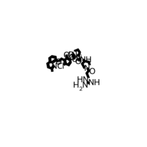 Cc1ccc2cccc(OCc3c(Cl)ccc(S(=O)(=O)N4CCC[C@H]4C(=O)NC4CCN(C(=O)CCNC(=N)N)CC4)c3Cl)c2n1